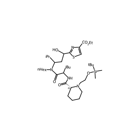 CCCCCCN(C(=O)C(NC(=O)[C@H]1CCCCN1CCO[Si](C)(C)C(C)(C)C)C(C)CC)C(CC(O)c1nc(C(=O)OCC)cs1)C(C)C